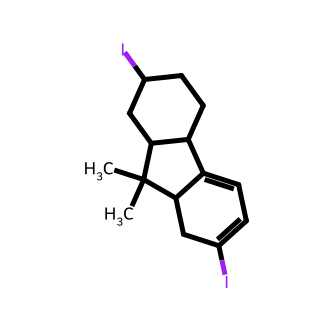 CC1(C)C2CC(I)=CC=C2C2CCC(I)CC21